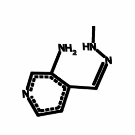 CN/N=C\c1ccncc1N